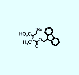 CN(C(=O)OCC1c2ccccc2-c2ccccc21)C(CC(C)(C)C)C(=O)O